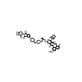 C#Cc1c(F)ccc2cc(O)cc(-c3ncc4c(N5CC6CCC(C5)N6)nc(OCC5(CN6CCN(CC7CCN(c8ccc9c(c8)C(=O)N(C8CCC(=O)NC8=O)C9=O)CC7)CC6)CC5)nc4c3F)c12